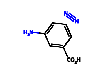 N#N.Nc1cccc(C(=O)O)c1